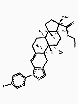 CC(=O)O[C@]1(C(=O)SCF)CC[C@H]2[C@@H]3CCC4=Cc5c(cnn5-c5ccc(F)cc5)C[C@]4(C)[C@H]3[C@@H](O)C[C@@]21C